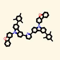 Cc1cc(C)c(-c2ccc3c(c2)c2cc(-c4cccc(-c5ccc6c(c5)c5cc(-c7c(C)cc(C)cc7C)ccc5n6-c5ccc6oc7ccccc7c6c5)n4)ccc2n3-c2ccc3oc4ccccc4c3c2)c(C)c1